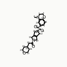 CN1CCOc2ccc(S(=O)(=O)N3CC4=C(CN(C(=O)CC5CCOCC5)C4)C3)cc21